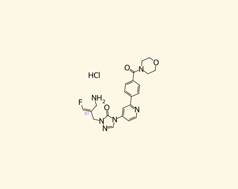 Cl.NC/C(=C\F)Cn1ncn(-c2ccnc(-c3ccc(C(=O)N4CCOCC4)cc3)c2)c1=O